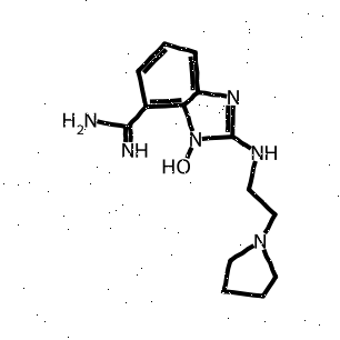 N=C(N)c1cccc2nc(NCCN3CCCC3)n(O)c12